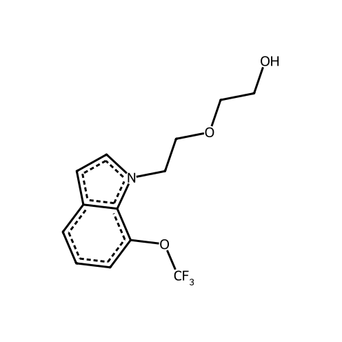 OCCOCCn1ccc2cccc(OC(F)(F)F)c21